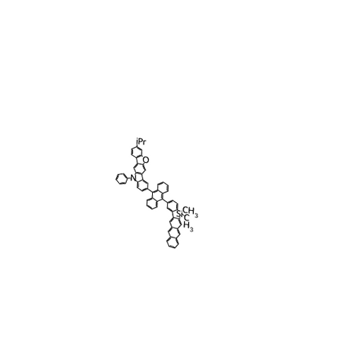 CC(C)c1ccc2c(c1)oc1cc3c4cc(-c5c6ccccc6c(-c6ccc7c(c6)-c6cc8cc9ccccc9cc8cc6[Si]7(C)C)c6ccccc56)ccc4n(-c4ccccc4)c3cc12